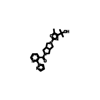 Cc1oc(N2CC3CN(C(=O)c4cccnc4-n4cccn4)CC3C2)nc1C(C)(C)O